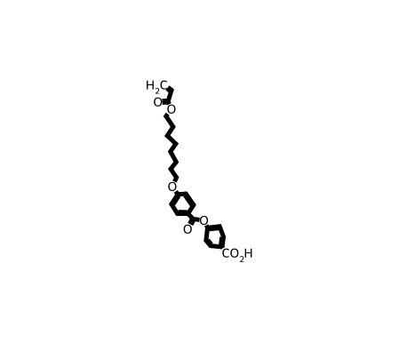 C=CC(=O)OCCCCCCCCOc1ccc(C(=O)Oc2ccc(C(=O)O)cc2)cc1